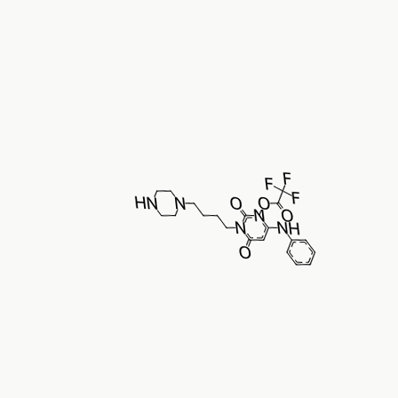 O=C(On1c(Nc2ccccc2)cc(=O)n(CCCCN2CCNCC2)c1=O)C(F)(F)F